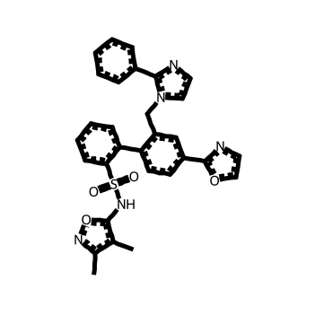 Cc1noc(NS(=O)(=O)c2ccccc2-c2ccc(-c3ncco3)cc2Cn2ccnc2-c2ccccc2)c1C